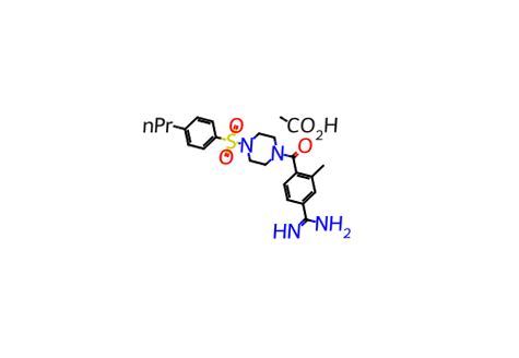 CC(=O)O.CCCc1ccc(S(=O)(=O)N2CCN(C(=O)c3ccc(C(=N)N)cc3C)CC2)cc1